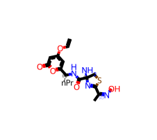 C=COc1cc([C@@H](CCC)NC(=O)[C@]2(N)CSC(/C(C)=N\O)=N2)oc(=O)c1